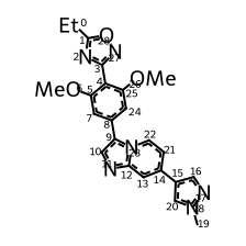 CCc1nc(-c2c(OC)cc(-c3cnc4cc(-c5cnn(C)c5)ccn34)cc2OC)no1